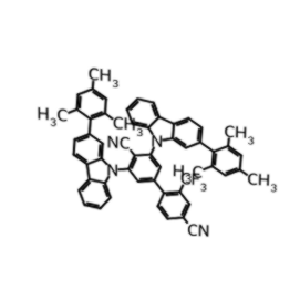 Cc1cc(C)c(-c2ccc3c4ccccc4n(-c4cc(-c5ccc(C#N)cc5C(F)(F)F)cc(-n5c6ccccc6c6ccc(-c7c(C)cc(C)cc7C)cc65)c4C#N)c3c2)c(C)c1